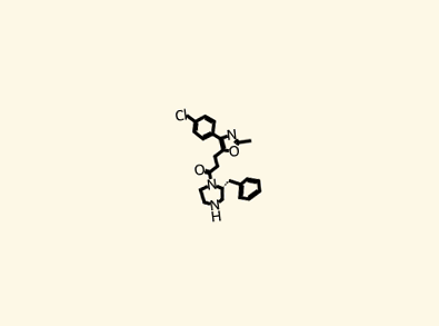 Cc1nc(-c2ccc(Cl)cc2)c(CCC(=O)N2CCNC[C@H]2Cc2ccccc2)o1